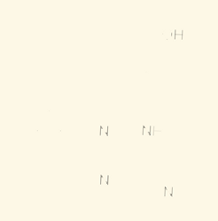 N#Cc1ncc(C2CC2)nc1N[C@H]1C[C@@H](CO)C1